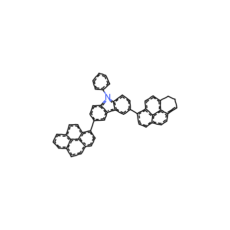 C1=c2ccc3ccc(-c4ccc5c(c4)c4cc(-c6ccc7ccc8cccc9ccc6c7c89)ccc4n5-c4ccccc4)c4ccc(c2c34)CC1